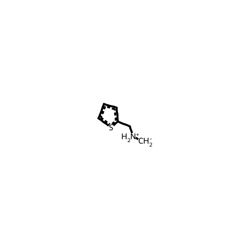 [CH2-][NH2+]Cc1cccs1